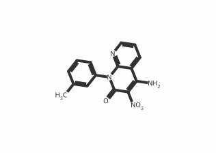 Cc1cccc(-n2c(=O)c([N+](=O)[O-])c(N)c3cccnc32)c1